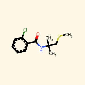 CSCC(C)(C)NC(=O)c1ccccc1Cl